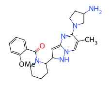 COc1ccccc1C(=O)N1CCCCC1C1C=C2N=C(N3CCC(N)C3)C(C)=CN2N1